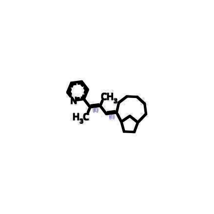 CC(/C=C1\CCCCCC2CCC1C2)=C(/C)c1ccccn1